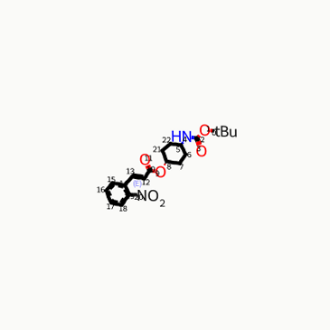 CC(C)(C)OC(=O)N[C@H]1CC[C@H](OC(=O)/C=C/c2ccccc2[N+](=O)[O-])CC1